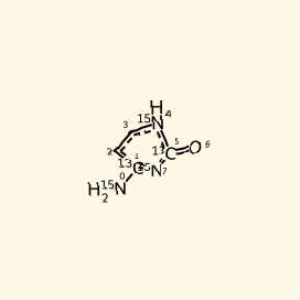 [15NH2][13c]1cc[15nH][13c](=O)[15n]1